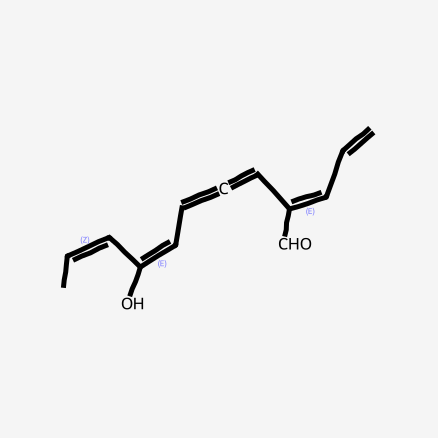 C=C/C=C(/C=O)C=C=C/C=C(O)\C=C/C